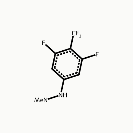 CNNc1cc(F)c(C(F)(F)F)c(F)c1